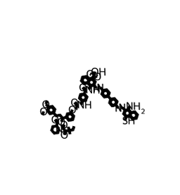 CCC(C)(C)C(=O)C(=O)N1CCCCC1C(=O)OC(CCc1ccc(OC)c(OC)c1)c1cccc(OCC(=O)Nc2ccc(C(=O)Nc3c(/N=N/c4ccc(-c5ccc(/N=N/c6cc(S)c7ccccc7c6N)cc5)cc4)cc(S(=O)(=O)O)c4ccccc34)cc2)c1